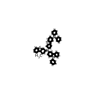 CC1C=C(N(c2ccc3c(c2)sc2ccc(N(c4ccccc4)c4ccccc4)cc23)c2ccc3c(c2)c2ccccc2n3-c2ccccc2)C=C2Sc3ccccc3C21